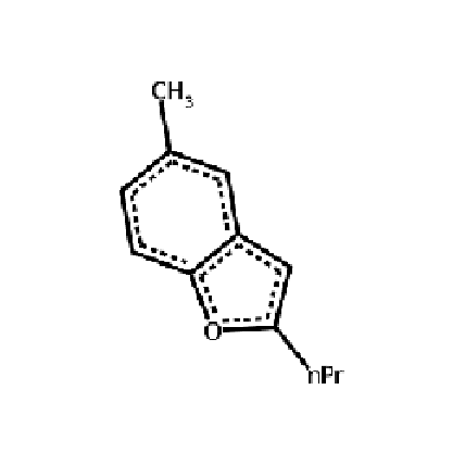 CCCc1cc2cc(C)ccc2o1